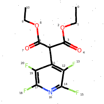 CCOC(=O)C(C(=O)OCC)c1c(F)c(F)nc(F)c1F